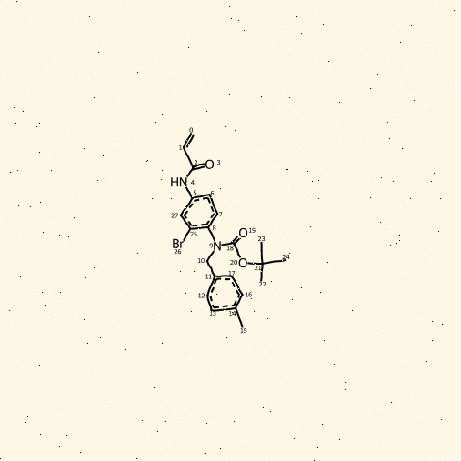 C=CC(=O)Nc1ccc(N(Cc2ccc(C)cc2)C(=O)OC(C)(C)C)c(Br)c1